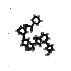 O=C(Nc1cncc(-c2ccc3[nH]nc(-c4nc5c(-c6ccc(F)s6)ccnc5[nH]4)c3c2)c1)C1CCCCC1